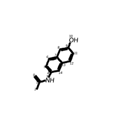 C=C(C)Nc1ccc2cc(O)ccc2c1